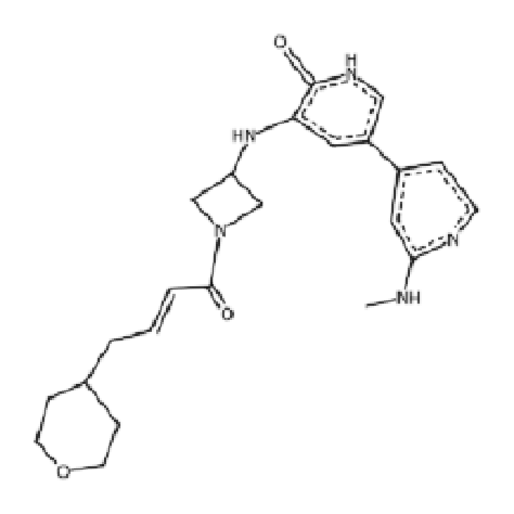 CNc1cc(-c2c[nH]c(=O)c(NC3CN(C(=O)C=CCC4CCOCC4)C3)c2)ccn1